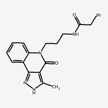 Cc1[nH]nc2c1c(=O)n(CCCNC(=O)CC(C)C)c1ccccc21